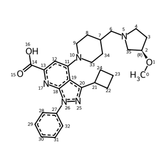 CO[C@@H]1CCN(CC2CCN(c3cc(C(=O)O)nc4c3c(C3CCC3)nn4-c3ccccc3)CC2)C1